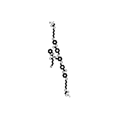 C=CC(=O)OCCCCCCOc1ccc(OC(=O)C2CCC(COc3ccc(OCC4CCC(C(=O)Oc5ccc(OCCCCCCOC(=O)C=C)cc5)CC4)c(/C=N/N(C(=O)CCCC#N)c4nc5ccccc5s4)c3)CC2)cc1